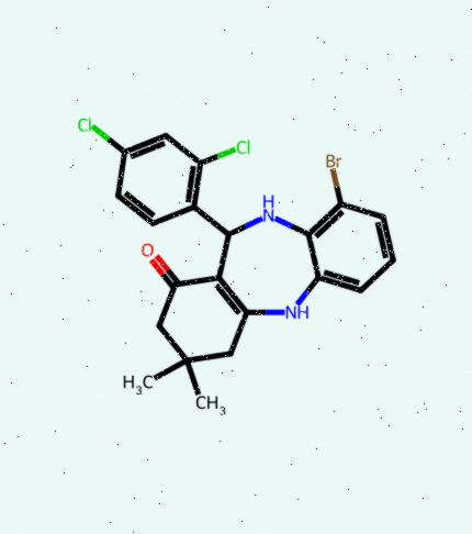 CC1(C)CC(=O)C2=C(C1)Nc1cccc(Br)c1NC2c1ccc(Cl)cc1Cl